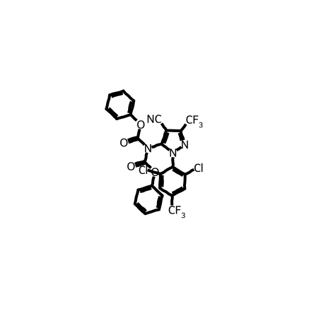 N#Cc1c(C(F)(F)F)nn(-c2c(Cl)cc(C(F)(F)F)cc2Cl)c1N(C(=O)Oc1ccccc1)C(=O)Oc1ccccc1